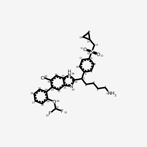 NCCCCC(c1ccc(S(=O)(=O)CC2CC2)cc1)c1nc2cc(-c3ccccc3OC(F)F)c(Cl)cc2[nH]1